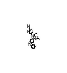 CC(C)CN1C(=O)N(c2cnc(C#N)nc2)C[C@]12CC[C@](c1ccccc1)(N(C)C)CC2